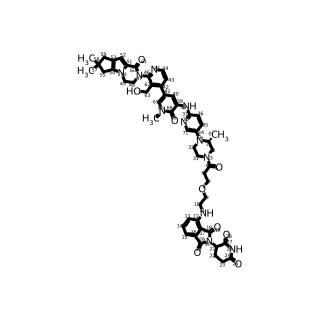 C[C@H]1CN(C(=O)CCOCCNc2cccc3c2C(=O)N(C2CCC(=O)NC2=O)C3=O)CCN1c1ccc(Nc2cc(-c3ccnc(N4CCn5c(cc6c5CC(C)(C)C6)C4=O)c3CO)cn(C)c2=O)nc1